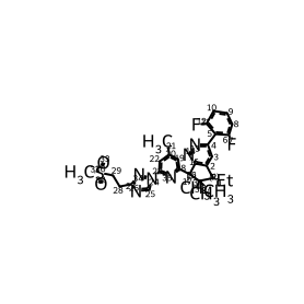 CC[C@H]1c2cc(-c3c(F)cccc3F)nnc2[C@](C)(c2cc(C)cc(-n3cnc(CCS(C)(=O)=O)n3)n2)C1(C)C